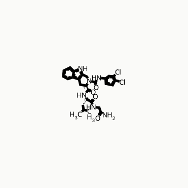 CC(C)C[C@H](NC(=O)[C@H]1Cc2c([nH]c3ccccc23)CN1C(=O)Nc1ccc(Cl)c(Cl)c1)C(=O)NCC(N)=O